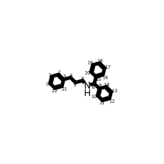 c1ccc(CCCNC(c2ccccc2)c2ccccc2)cc1